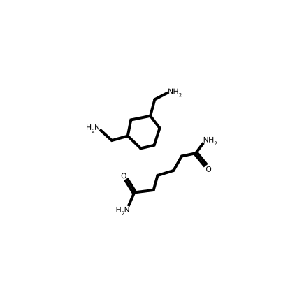 NC(=O)CCCCC(N)=O.NCC1CCCC(CN)C1